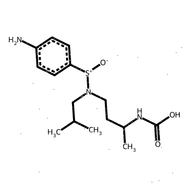 CC(C)CN(CCC(C)NC(=O)O)[S+]([O-])c1ccc(N)cc1